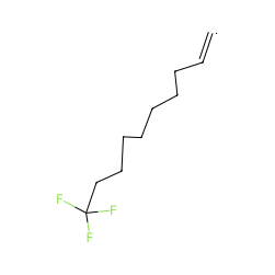 [CH]=CCCCCCCCC(F)(F)F